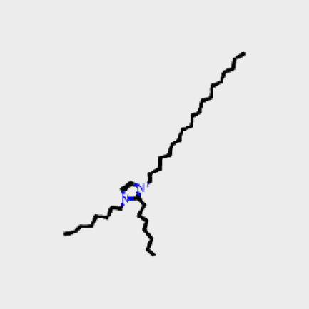 CCCCCCCCCCCCCCCCCCC[n+]1ccn(CCCCCCCC)c1CCCCCCC